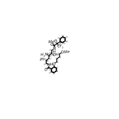 COCCCCOc1ccccc1C(=O)NC[C@@H](C[C@H](N)[C@@H](O)CNC(=O)[C@](OC)(c1ccccc1)C(F)(F)F)C(C)C